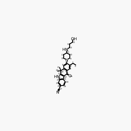 CCc1cc2c(cc1N1CCC(NCCCO)CC1)C(C)(C)c1[nH]c3cc(C#N)ccc3c1C2=O